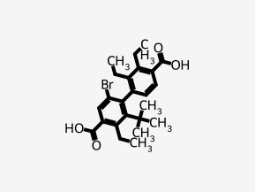 CCc1c(C(=O)O)ccc(-c2c(Br)cc(C(=O)O)c(CC)c2C(C)(C)C)c1CC